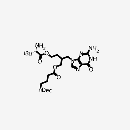 CCCCCCCCCCCCCC(=O)OCC(CCOC(=O)[C@@H](N)[C@@H](C)CC)Cn1cnc2c(=O)[nH]c(N)nc21